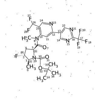 C[C@H]1[C@H](F)C[C@@H](C(=O)N(C)c2cc(-c3cnc(C(F)(F)F)nc3)ncc2C(F)F)N1C(=O)OC(C)(C)C